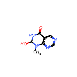 CN1c2ncncc2C(=O)NC1O